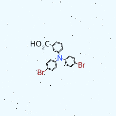 O=C(O)c1cccc(N(c2ccc(Br)cc2)c2ccc(Br)cc2)c1